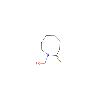 OCN1CCCCCCC1=S